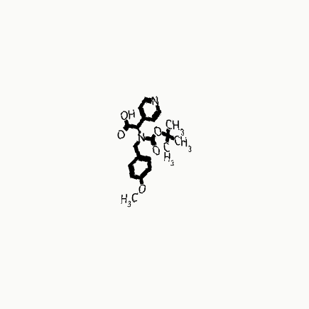 COc1ccc(CN(C(=O)OC(C)(C)C)[C@@H](C(=O)O)c2ccncc2)cc1